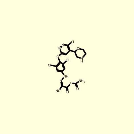 N#CC(=NNc1cc(Cl)c(Oc2cc(C3CNCCO3)c(Cl)nn2)c(Cl)c1)C(=O)OC(N)=O